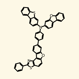 c1ccc(-c2nc3c(ccc4oc5cc(-c6ccc(N(c7ccc8c(c7)oc7ccccc78)c7ccc8c(c7)sc7ccccc78)cc6)ccc5c43)s2)cc1